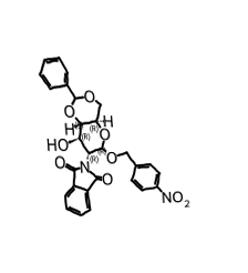 O=C1c2ccccc2C(=O)N1[C@H]1[C@H](OCc2ccc([N+](=O)[O-])cc2)O[C@@H]2COC(c3ccccc3)O[C@H]2[C@@H]1O